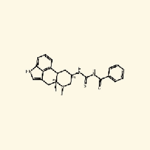 CN1C[C@H](NC(=S)NC(=O)c2ccccc2)CC2c3cccc4[nH]cc(c34)C[C@H]21